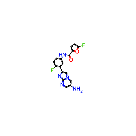 Nc1cnc2nc(-c3cc(NC(=O)c4ccc(F)o4)ccc3F)cn2c1